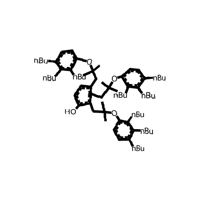 CCCCc1ccc(OC(C)(C)Cc2ccc(O)c(CC(C)(C)Oc3ccc(CCCC)c(CCCC)c3CCCC)c2CC(C)(C)Oc2ccc(CCCC)c(CCCC)c2CCCC)c(CCCC)c1CCCC